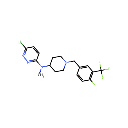 CN(c1ccc(Cl)nn1)C1CCN(Cc2ccc(F)c(C(F)(F)F)c2)CC1